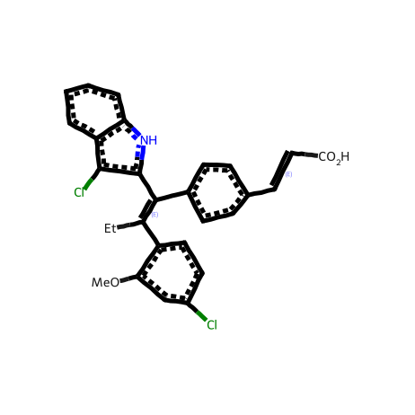 CC/C(=C(/c1ccc(/C=C/C(=O)O)cc1)c1[nH]c2ccccc2c1Cl)c1ccc(Cl)cc1OC